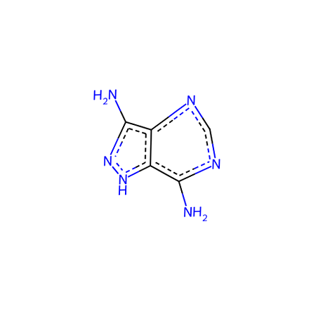 Nc1n[nH]c2c(N)ncnc12